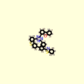 c1ccc(-c2nc(-c3cccc4c3oc3ccccc34)nc(-c3cccc4sc5ccc(-c6ccc(-c7nc8ccccc8s7)cc6)cc5c34)n2)cc1